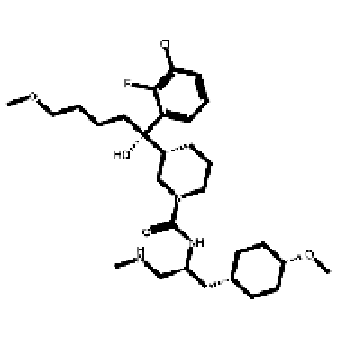 CNC[C@H](C[C@H]1CC[C@@H](OC)CC1)NC(=O)N1CCC[C@@H]([C@@](O)(CCCCOC)c2cccc(Cl)c2F)C1